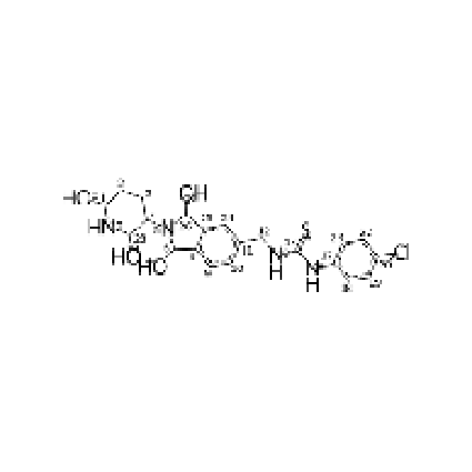 OC1CCC(N2C(O)c3ccc(CNC(=S)Nc4ccc(Cl)cc4)cc3C2O)C(O)N1